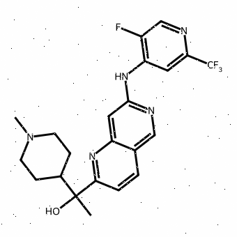 CN1CCC(C(C)(O)c2ccc3cnc(Nc4cc(C(F)(F)F)ncc4F)cc3n2)CC1